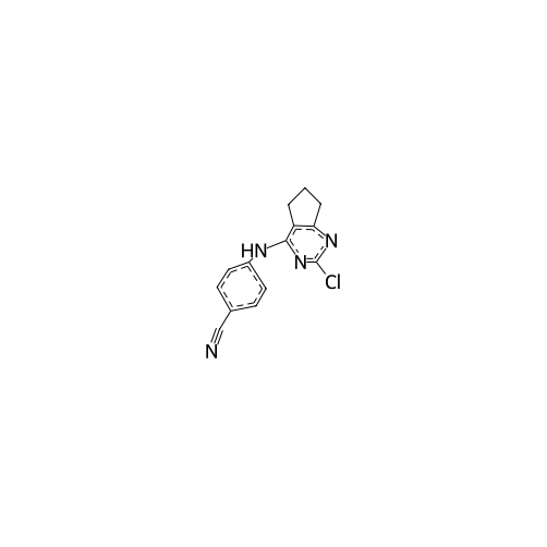 N#Cc1ccc(Nc2nc(Cl)nc3c2CCC3)cc1